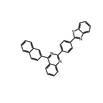 c1ccc2cc(-c3nc(-c4ccc(-c5nc6ccccc6s5)cc4)nc4ccccc34)ccc2c1